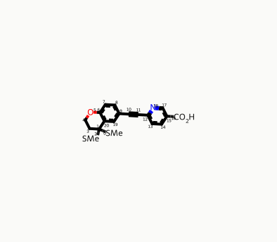 CSC1(SC)CCOc2ccc(C#Cc3ccc(C(=O)O)cn3)cc21